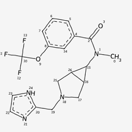 CN(C(=O)c1cccc(OC(F)(F)F)c1)C1C2CN(Cc3ncc[nH]3)CC21